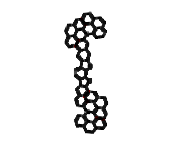 c1ccc2c(c1)ccc1cccc(N(c3ccc4cc5c(cc4c3)oc3c5ccc4c5cc6ccc(N(c7cccc8ccc9ccccc9c78)c7cccc8ccc9ccccc9c78)cc6cc5oc43)c3cccc4ccc5ccccc5c34)c12